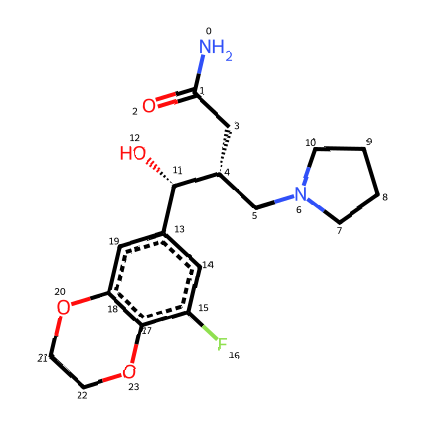 NC(=O)C[C@H](CN1CCCC1)[C@@H](O)c1cc(F)c2c(c1)OCCO2